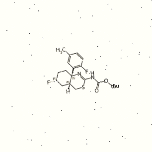 Cc1ccc(F)c([C@]23CC[C@@H](F)C[C@H]2CSC(NC(=O)OC(C)(C)C)=N3)c1